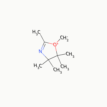 [CH2-][O+]1C(C)=NC(C)(C)C1(C)C